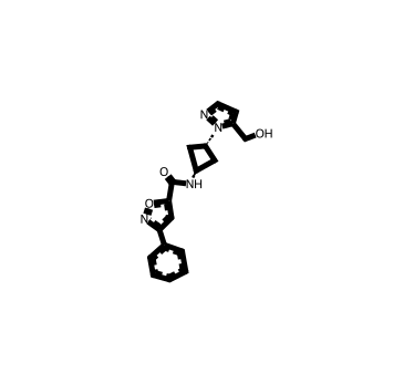 O=C(N[C@H]1C[C@@H](n2nccc2CO)C1)c1cc(-c2ccccc2)no1